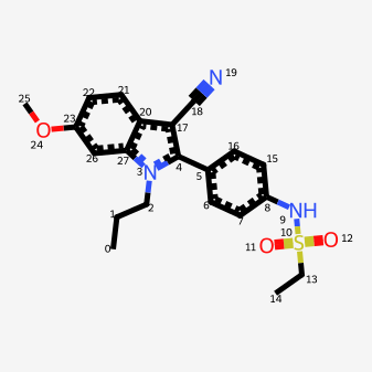 CCCn1c(-c2ccc(NS(=O)(=O)CC)cc2)c(C#N)c2ccc(OC)cc21